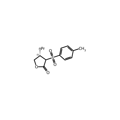 CCC[C@H]1COC(=O)C1S(=O)(=O)c1ccc(C)cc1